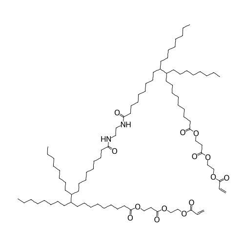 C=CC(=O)OCCOC(=O)CCOC(=O)CCCCCCCCC(CCCCCCCC)C(CCCCCCCC)CCCCCCCCC(=O)NCCNC(=O)CCCCCCCCC(CCCCCCCC)C(CCCCCCCC)CCCCCCCCC(=O)OCCC(=O)OCCOC(=O)C=C